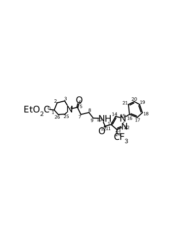 CCOC(=O)C1CCN(C(=O)CCCNC(=O)c2cn(-c3ccccc3)nc2C(F)(F)F)CC1